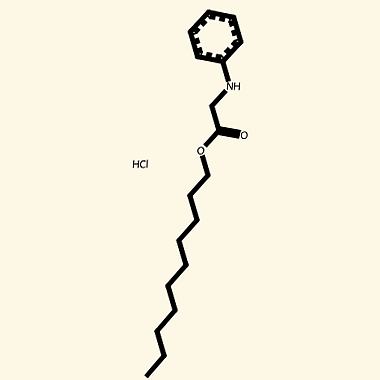 CCCCCCCCCCOC(=O)CNc1ccccc1.Cl